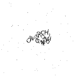 Cc1cc2[nH]c(=O)c3cnn(C4CCOCC4)c3c2cc1C(=O)N1CCC(CN2CCc3ccccc32)CC1